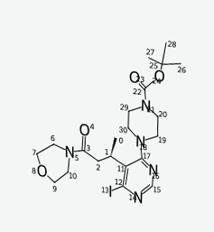 C[C@H](CC(=O)N1CCOCC1)c1c(I)ncnc1N1CCN(C(=O)OC(C)(C)C)CC1